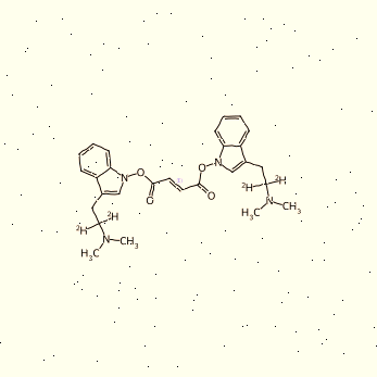 [2H]C([2H])(Cc1cn(OC(=O)/C=C/C(=O)On2cc(CC([2H])([2H])N(C)C)c3ccccc32)c2ccccc12)N(C)C